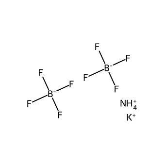 F[B-](F)(F)F.F[B-](F)(F)F.[K+].[NH4+]